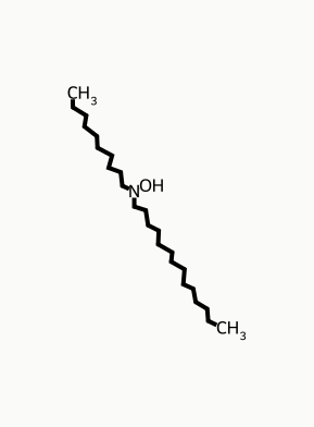 CCCCCCCCCCCCCCN(O)CCCCCCCCCC